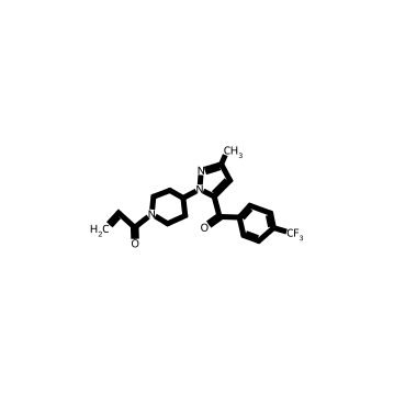 C=CC(=O)N1CCC(n2nc(C)cc2C(=O)c2ccc(C(F)(F)F)cc2)CC1